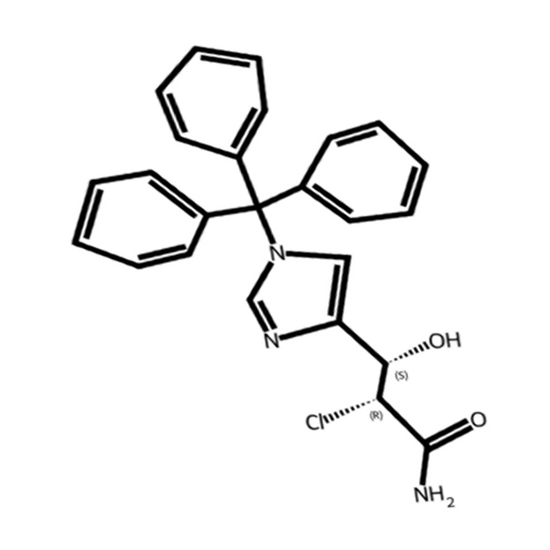 NC(=O)[C@H](Cl)[C@@H](O)c1cn(C(c2ccccc2)(c2ccccc2)c2ccccc2)cn1